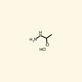 CC(Cl)NN.Cl